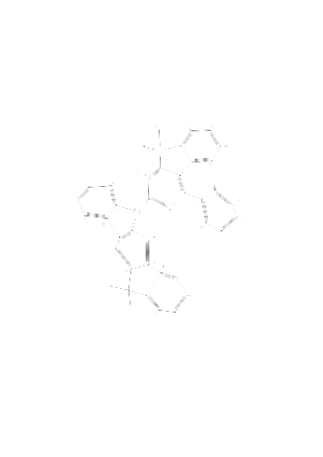 CC1(C)c2ccccc2-c2cc3c(cc21)c1ccccc1n3-c1nc(-c2ccccc2)c2c(n1)[Si](C)(C)c1ccccc1-2